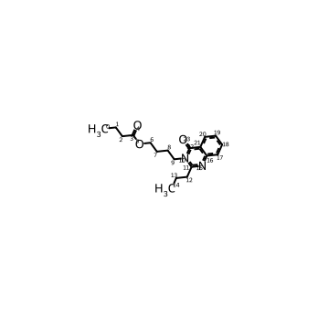 CCCC(=O)OCCCCn1c(CCC)nc2ccccc2c1=O